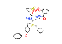 O=C(NCC(NCc1cccs1)C(Cc1ccc(Oc2ccccc2)cc1)SCC1CCCCC1)c1ccccc1O